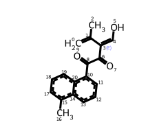 C=C(C)/C(=C\O)C(=O)C(=O)c1cccc2c(C)cccc12